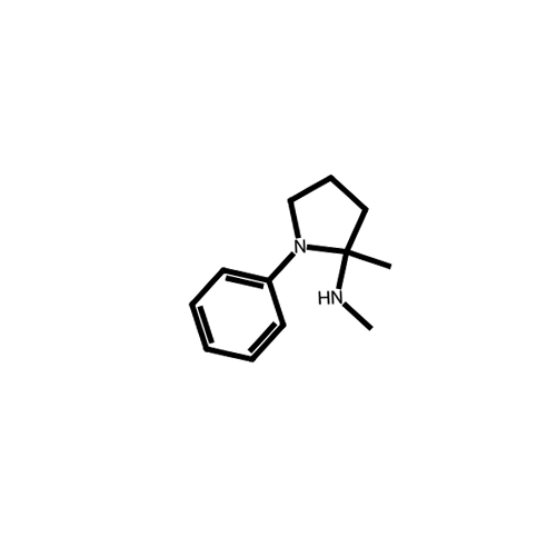 CNC1(C)CCCN1c1ccccc1